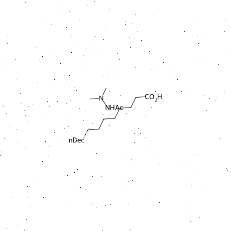 CC(=O)NN(C)C.CCCCCCCCCCCCCCCCCC(=O)O